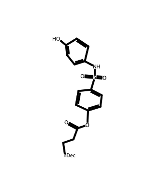 CCCCCCCCCCCCC(=O)Oc1ccc(S(=O)(=O)Nc2ccc(O)cc2)cc1